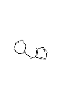 c1ncnc(NN2CCCCC2)n1